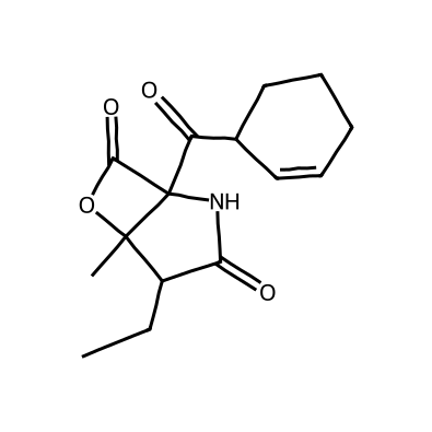 CCC1C(=O)NC2(C(=O)C3C=CCCC3)C(=O)OC12C